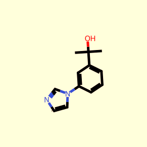 CC(C)(O)c1cccc(-n2c[c]nc2)c1